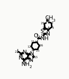 CN1CCc2nc(NC(=O)[C@H]3CC[C@@H](n4cnc5c(N)nc(I)nc54)CC3)sc2C1